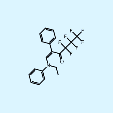 CCN(/C=C(\C(=O)C(F)(F)C(F)(F)C(F)(F)F)c1ccccc1)c1ccccc1